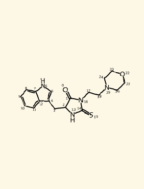 O=C1C(Cc2c[nH]c3ccccc23)NC(=S)N1CCN1CCOCC1